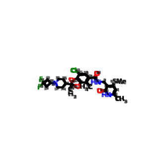 CSc1cc(C)[nH]c(=O)c1CNC(=O)c1cc(Cl)c2c(c1C)OC(C)(C1CCN(C3CC(F)(F)C3)CC1)O2